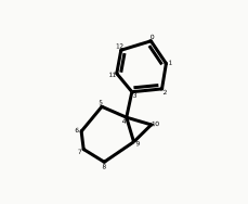 c1ccc(C23CCCCC2C3)cc1